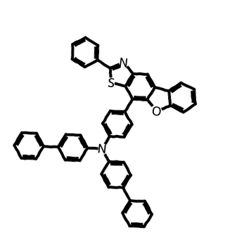 c1ccc(-c2ccc(N(c3ccc(-c4ccccc4)cc3)c3ccc(-c4c5oc6ccccc6c5cc5nc(-c6ccccc6)sc45)cc3)cc2)cc1